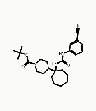 CC(C)(C)OC(=O)N1CCC(C2(NC(=O)Nc3cccc(C#N)c3)CCCCCC2)CC1